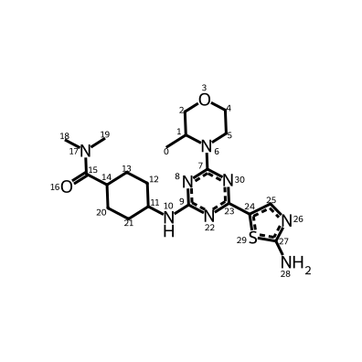 CC1COCCN1c1nc(NC2CCC(C(=O)N(C)C)CC2)nc(-c2cnc(N)s2)n1